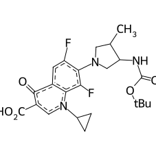 CC1CN(c2c(F)cc3c(=O)c(C(=O)O)cn(C4CC4)c3c2F)CC1NC(=O)OC(C)(C)C